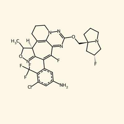 CC1ON=C2C(c3cc(N)cc(Cl)c3C(F)(F)F)=C(F)C3=NC(OC[C@@]45CCCN4C[C@H](F)C5)=NN4CCCC(=C34)[C@@H]21